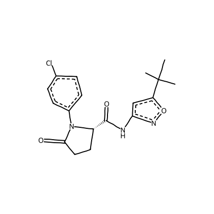 CC(C)(C)c1cc(NC(=O)[C@@H]2CCC(=O)N2c2ccc(Cl)cc2)no1